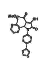 COCc1ncccc1C1C(C(=O)C(C)C)=C(O)C(=O)N1c1ccc(-c2ccsc2)cc1